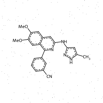 COc1cc2cc(Nc3cc(C)[nH]n3)nc(-c3cccc(C#N)c3)c2cc1OC